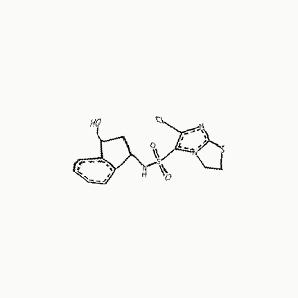 O=S(=O)(NC1CC(O)c2ccccc21)c1c(Cl)nc2n1CCS2